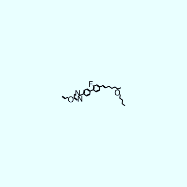 C=CCOc1cnc(-c2ccc(-c3ccc(C=CCCCC(C)OCCCCC)cc3F)cc2)nc1